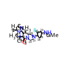 C=N/C(NC1(C)CC1)=C(\C)C(C(=O)N1CCN(c2ccc(NOC)cc2F)CC1)=C(C)C